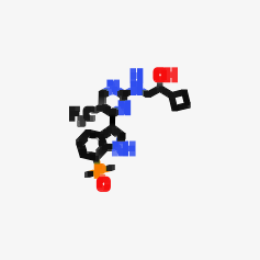 CP(C)(=O)c1cccc2c(-c3nc(NCC(O)C4CCC4)ncc3C(F)(F)F)c[nH]c12